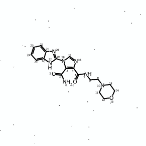 NC(=O)c1c(C(=O)NCCN2CCOCC2)ncn1-c1nc2ccccc2[nH]1